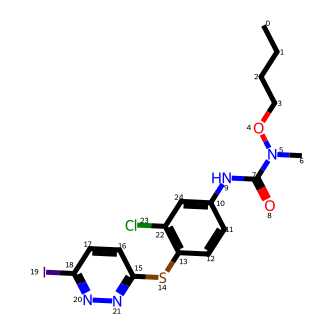 CCCCON(C)C(=O)Nc1ccc(Sc2ccc(I)nn2)c(Cl)c1